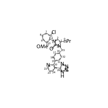 CCCc1cn(-c2c(Cl)cccc2OC)c(=O)n1Cc1ccc(-c2ncccc2-c2nnn[nH]2)cc1